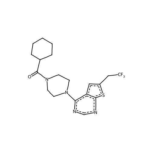 O=C(C1CCCCC1)N1CCN(c2ncnc3sc(CC(F)(F)F)cc23)CC1